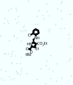 CCOC(=O)c1c(CNc2ccccc2Cl)[nH]c(C(=O)OC(C)(C)C)c1CC